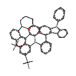 CC(C)(C)c1cc(N(c2ccccc2-c2cccc3cccc(C4CCCCC4)c23)c2ccccc2-c2cccc3c2c2ccccc2n3-c2ccccc2)cc(C(C)(C)C)c1